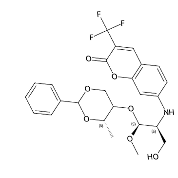 CO[C@@H](OC1COC(c2ccccc2)O[C@H]1C)[C@H](CO)Nc1ccc2cc(C(F)(F)F)c(=O)oc2c1